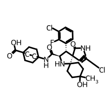 CC1(O)CCC2(CC1)N[C@@H](C(=O)NC13CCC(C(=O)O)(CC1)CC3)[C@H](c1cccc(Cl)c1F)[C@]21C(=O)Nc2cc(Cl)ccc21